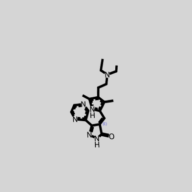 CCN(CC)CCc1c(C)[nH]c(/C=C2/C(=O)NN=C2c2cnccn2)c1C